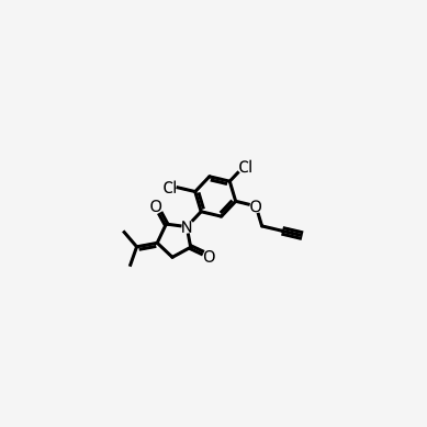 C#CCOc1cc(N2C(=O)CC(=C(C)C)C2=O)c(Cl)cc1Cl